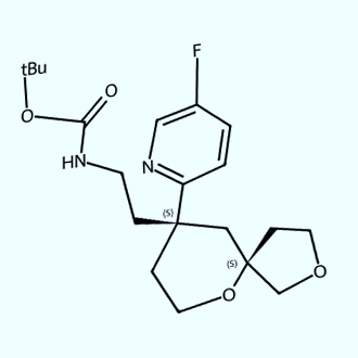 CC(C)(C)OC(=O)NCC[C@]1(c2ccc(F)cn2)CCO[C@]2(CCOC2)C1